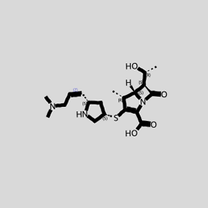 C[C@@H](O)[C@H]1C(=O)N2C(C(=O)O)=C(S[C@@H]3CN[C@H](/C=C\CN(C)C)C3)[C@H](C)[C@H]12